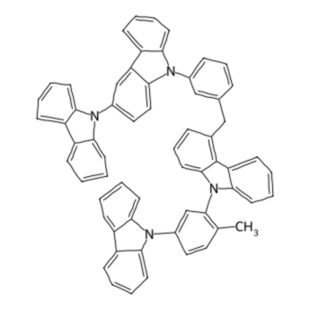 Cc1ccc(-n2c3ccccc3c3ccccc32)cc1-n1c2ccccc2c2c(Cc3cccc(-n4c5ccccc5c5cc(-n6c7ccccc7c7ccccc76)ccc54)c3)cccc21